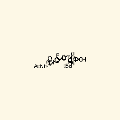 CC(=O)NC[C@H]1CN(c2ccc(-c3ccc(CNC(=O)[C@@H]4C[C@@H](O)CN4C(=O)OC(C)(C)C)cc3)c(F)c2)C(=O)O1